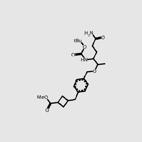 COC(=O)C1CC(Cc2ccc(COC(C)C(CCC(N)=O)NC(=O)OC(C)(C)C)cc2)C1